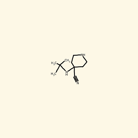 CC(C)(C)NC1(C#N)CCNCC1